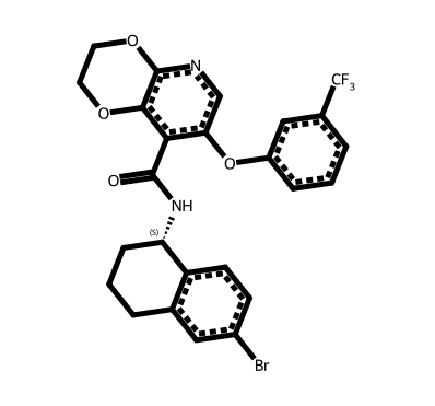 O=C(N[C@H]1CCCc2cc(Br)ccc21)c1c(Oc2cccc(C(F)(F)F)c2)cnc2c1OCCO2